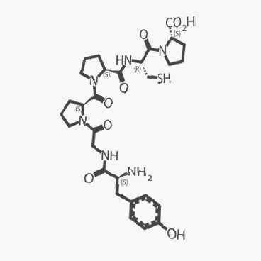 N[C@@H](Cc1ccc(O)cc1)C(=O)NCC(=O)N1CCC[C@H]1C(=O)N1CCC[C@H]1C(=O)N[C@@H](CS)C(=O)N1CCC[C@H]1C(=O)O